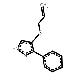 C=CCSc1c[nH]nc1-c1ccccc1